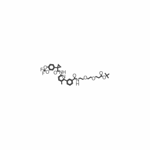 Cc1ccc(NC(=O)C2(c3ccc4c(c3)OC(F)(F)O4)CC2)nc1-c1cccc(C(=O)NCCOCCOCCC(=O)OC(C)(C)C)c1